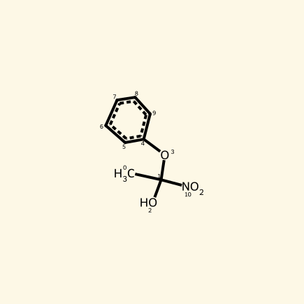 CC(O)(Oc1ccccc1)[N+](=O)[O-]